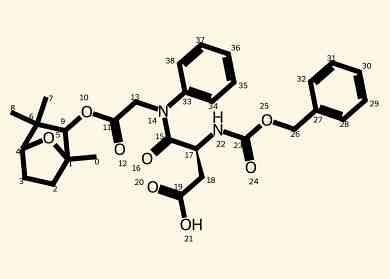 CC12CCC(O1)C(C)(C)C2OC(=O)CN(C(=O)[C@H](CC(=O)O)NC(=O)OCc1ccccc1)c1ccccc1